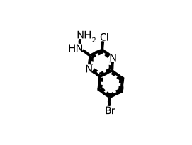 NNc1nc2cc(Br)ccc2nc1Cl